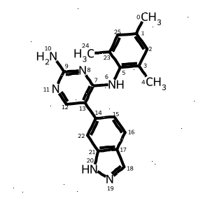 Cc1cc(C)c(Nc2nc(N)ncc2-c2ccc3cn[nH]c3c2)c(C)c1